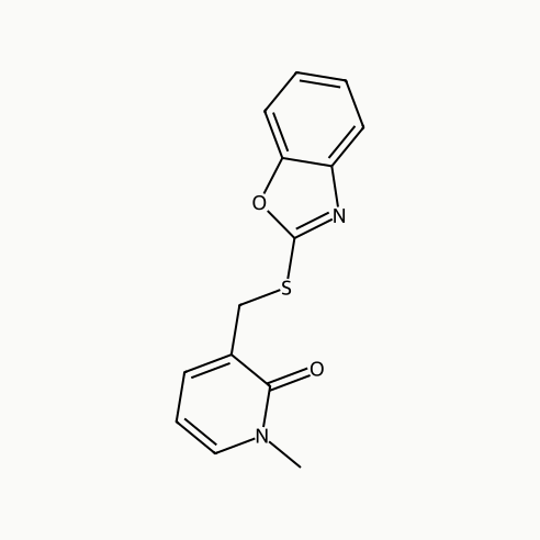 Cn1cccc(CSc2nc3ccccc3o2)c1=O